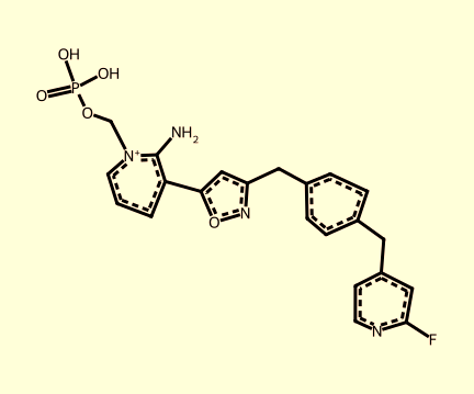 Nc1c(-c2cc(Cc3ccc(Cc4ccnc(F)c4)cc3)no2)ccc[n+]1COP(=O)(O)O